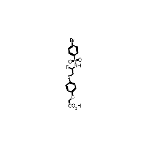 O=C(O)COc1ccc(SCC(F)NS(=O)(=O)c2ccc(Br)cc2)cc1